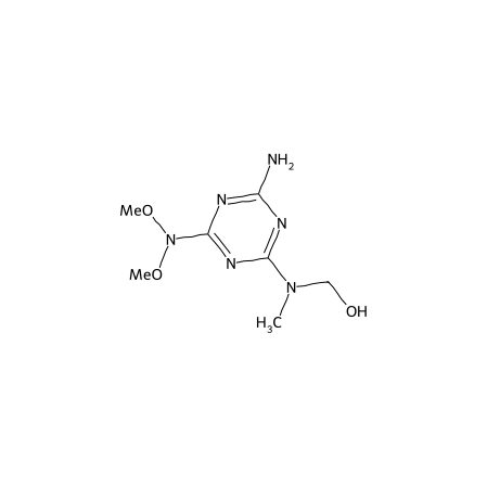 CON(OC)c1nc(N)nc(N(C)CO)n1